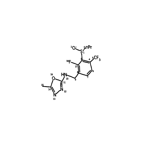 CCC[S+]([O-])c1c(C(F)(F)F)ccc(CNc2nnc(C)o2)c1F